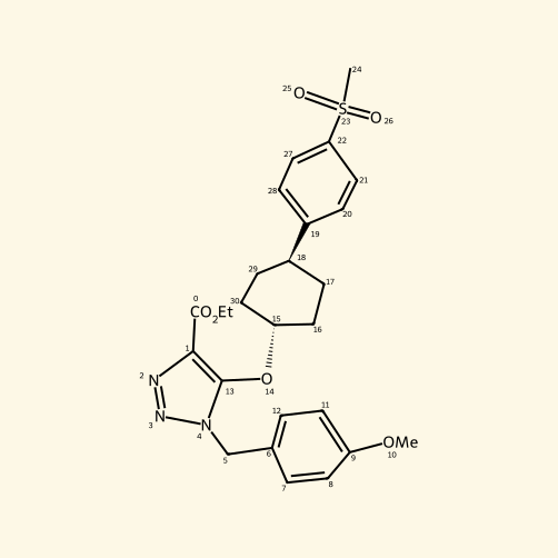 CCOC(=O)c1nnn(Cc2ccc(OC)cc2)c1O[C@H]1CC[C@H](c2ccc(S(C)(=O)=O)cc2)CC1